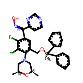 C[C@@H]1CN(c2c(CO[Si](c3ccccc3)(c3ccccc3)C(C)(C)C)cc(/C(=N/O)c3ccncn3)c(F)c2F)C[C@H](C)O1